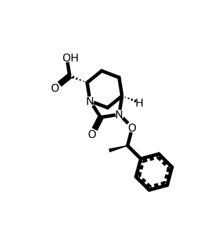 C[C@@H](ON1C(=O)N2C[C@H]1CC[C@H]2C(=O)O)c1ccccc1